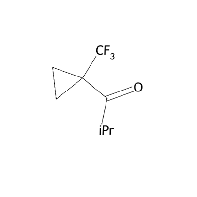 CC(C)C(=O)C1(C(F)(F)F)CC1